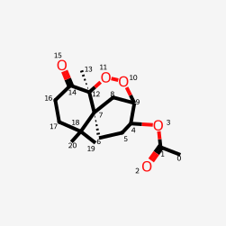 CC(=O)OC1CC[C@@]23CC1OO[C@]2(C)C(=O)CCC3(C)C